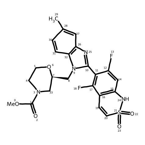 COC(=O)N1CCO[C@@H](Cn2c(-c3c(F)cc4c(c3F)C=CS(=O)(=O)N4)nc3cc(C)ccc32)C1